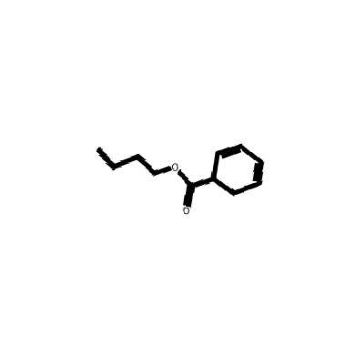 CCCCOC(=O)C1C=CC=CC1